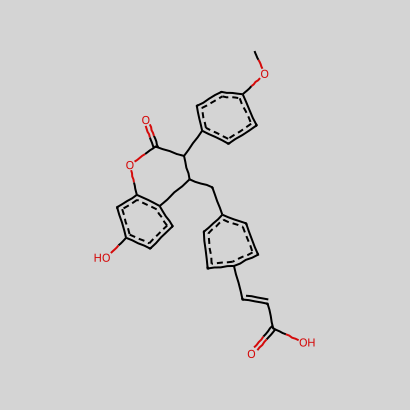 COc1ccc(C2C(=O)Oc3cc(O)ccc3C2Cc2ccc(/C=C/C(=O)O)cc2)cc1